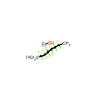 CCO.O=C(O)C(F)(F)C(F)(F)C(F)(F)C(F)(F)C(F)(F)C(F)(F)C(F)(F)F